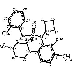 [CH2]c1ccc(N2CCN(C(C)=O)CC2)c(N(C2CCC2)S(=O)(=O)Cc2ccccc2Cl)c1F